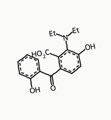 CCN(CC)c1c(O)ccc(C(=O)c2ccccc2O)c1C(=O)O